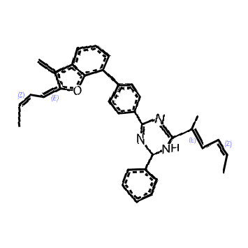 C=c1/c(=C\C=C/C)oc2c(-c3ccc(C4=NC(c5ccccc5)NC(/C(C)=C/C=C\C)=N4)cc3)cccc12